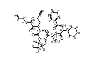 C#CCCC(NC(=O)[C@@H]1[C@@H]2[C@H](CN1C(=O)[C@@H](NC(=O)[C@@H](NC(=O)c1cnccn1)C1CCCCC1)C(C)(C)C)C2(C)C)C(=O)C(=O)NCC=C